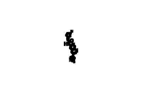 Cn1cc(-c2cnc3cnc(NC(=O)CN4CC[C@@H](F)C4)cc3c2)cn1